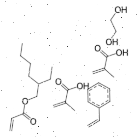 C=C(C)C(=O)O.C=C(C)C(=O)O.C=CC(=O)OCC(CC)CCCC.C=Cc1ccccc1.OCCO